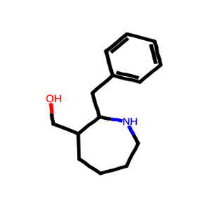 OCC1CCCCNC1Cc1ccccc1